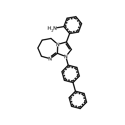 Nc1ccccc1C1=CN(c2ccc(-c3ccccc3)cc2)C2=NCCCCN12